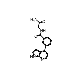 NC(=O)CNC(=O)c1cccc(-c2ccnc3[nH]ccc23)c1